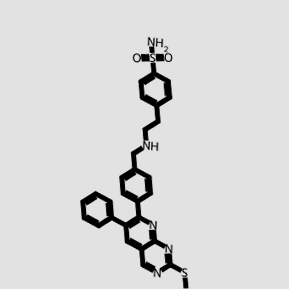 CSc1ncc2cc(-c3ccccc3)c(-c3ccc(CNCCc4ccc(S(N)(=O)=O)cc4)cc3)nc2n1